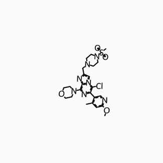 COc1cc(C)c(-c2nc(N3CCOCC3)c3nc(CN4CCN(S(C)(=O)=O)CC4)cn3c2Cl)cn1